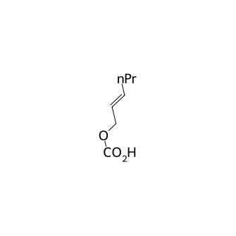 CCC/C=C/COC(=O)O